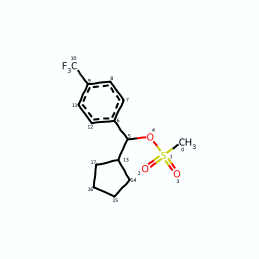 CS(=O)(=O)OC(c1ccc(C(F)(F)F)cc1)C1CCCC1